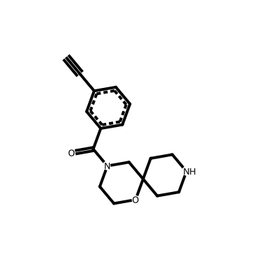 C#Cc1cccc(C(=O)N2CCOC3(CCNCC3)C2)c1